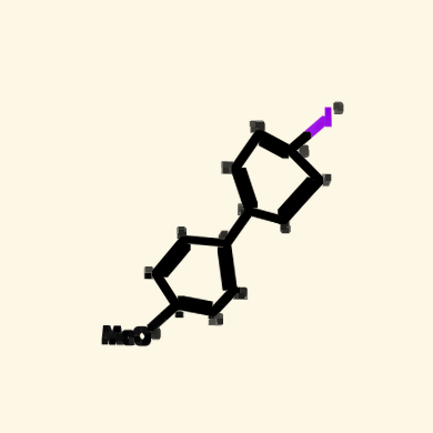 COc1ccc(-c2ccc(I)cc2)cc1